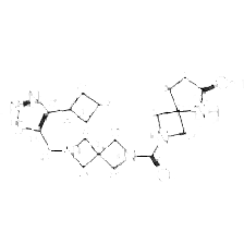 O=C1CCC2(CN(C(=O)N3CC4(CN(Cc5snnc5C5CCC5)C4)C3)C2)N1